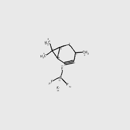 CC1C#CC2C(C1)C2(C)C.FB(F)F.[K]